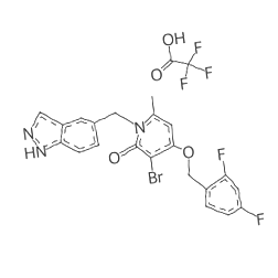 Cc1cc(OCc2ccc(F)cc2F)c(Br)c(=O)n1Cc1ccc2[nH]ncc2c1.O=C(O)C(F)(F)F